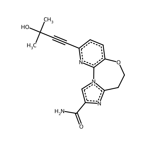 CC(C)(O)C#Cc1ccc2c(n1)-n1cc(C(N)=O)nc1CCO2